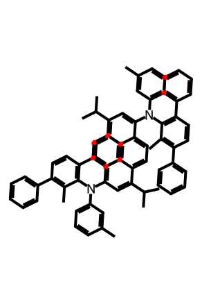 Cc1cccc(N(c2c(-c3ccccc3)ccc(-c3ccccc3)c2C)c2cc(C(C)C)c3ccc4c(N(c5cccc(C)c5)c5c(-c6ccccc6)ccc(-c6ccccc6)c5C)cc(C(C)C)c5ccc2c3c54)c1